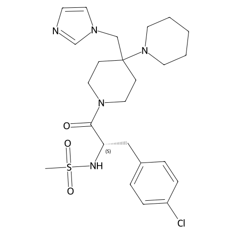 CS(=O)(=O)N[C@@H](Cc1ccc(Cl)cc1)C(=O)N1CCC(Cn2ccnc2)(N2CCCCC2)CC1